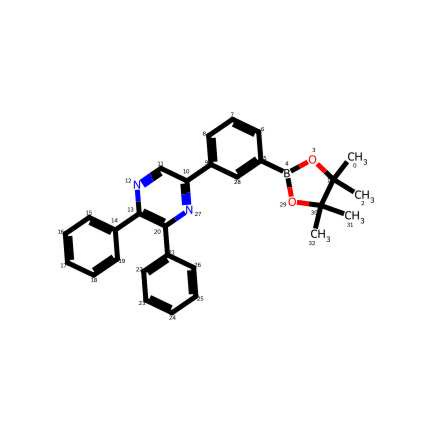 CC1(C)OB(c2cccc(-c3cnc(-c4ccccc4)c(-c4ccccc4)n3)c2)OC1(C)C